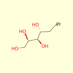 CC(C)C[C@@H](O)[C@@H](O)[C@H](O)CO